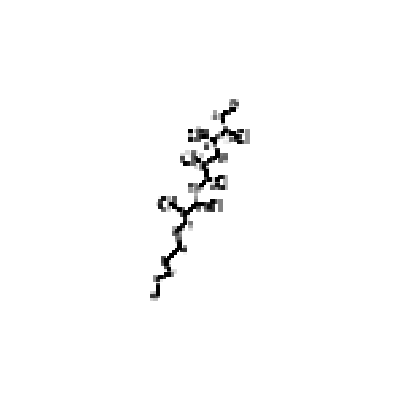 CCCCCCCC(Cl)C(Cl)CC(Cl)C(Cl)CC(Cl)C(Cl)CC